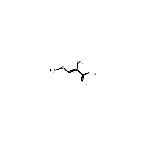 C=C(C)/C(N)=C/SN